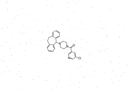 O=C(c1cncc(Cl)c1)N1CCN(C2c3ccccc3CCc3ccccc32)CC1